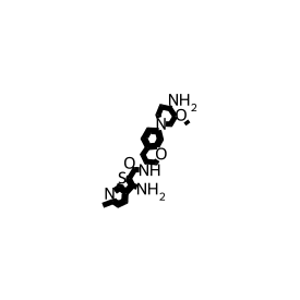 COC1CN(c2ccc3c(c2)OC[C@H](NC(=O)c2sc4nc(C)ccc4c2N)C3)CC[C@H]1N